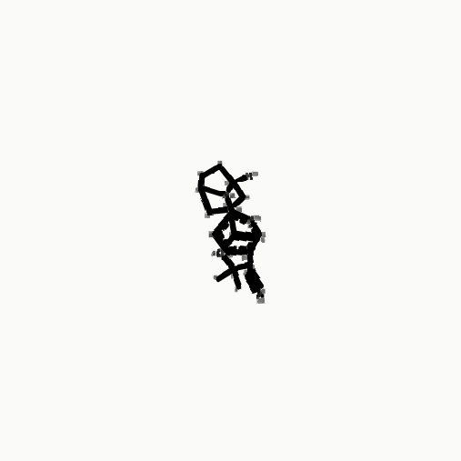 CC(C)(C)OC(=O)N1CC2CC[C@H](C1)N2c1ccc(C#N)cn1